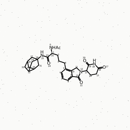 CC(=O)N[C@@H](CCCc1cccc2c1CN(C1CCC(=O)NC1=O)C2=O)C(=O)NC12CC3CC(C1)C(C3)C2